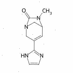 CN1C(=O)N2CC(c3ncc[nH]3)=CC1C2